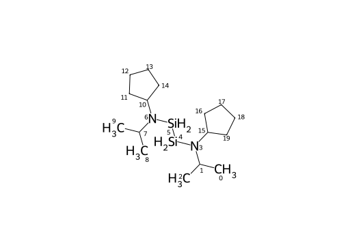 CC(C)N([SiH2][SiH2]N(C(C)C)C1CCCC1)C1CCCC1